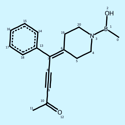 CB(O)N1CCC(=C(C#CC(C)=O)c2ccccc2)CC1